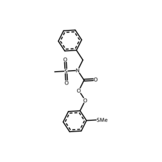 CSc1ccccc1OOC(=O)N(Cc1ccccc1)S(C)(=O)=O